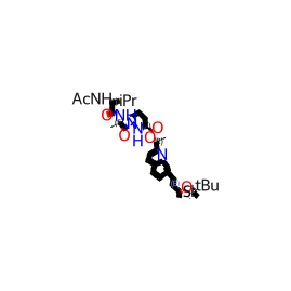 CC(=O)N[C@H](C(=O)N[C@@H](C)C(=O)N1CCC[C@@H](C(=O)O[C@H](C)c2ccc3ccc(/C=C/C(C)O[Si](C)(C)C(C)(C)C)cc3n2)N1)C(C)C